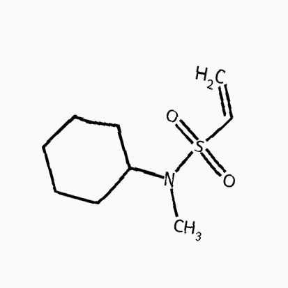 C=CS(=O)(=O)N(C)C1CCCCC1